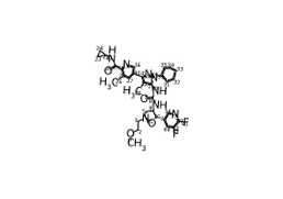 COCCN1C[C@@H](NC(=O)Nc2c(C)c(-c3cnc(C(=O)NC4CC4)c(C)c3)nn2-c2ccccc2)[C@H](c2cnc(F)c(F)c2)O1